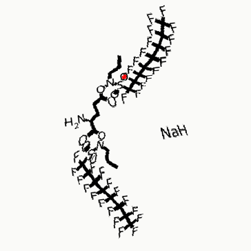 CCCN(OC(=O)CC[C@H](N)C(=O)ON(CCC)S(=O)(=O)C(F)(F)C(F)(F)C(F)(F)C(F)(F)C(F)(F)C(F)(F)C(F)(F)C(F)(F)F)S(=O)(=O)C(F)(F)C(F)(F)C(F)(F)C(F)(F)C(F)(F)C(F)(F)C(F)(F)C(F)(F)F.[NaH]